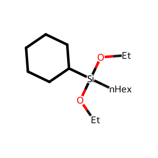 CCCCCC[Si](OCC)(OCC)C1CCCCC1